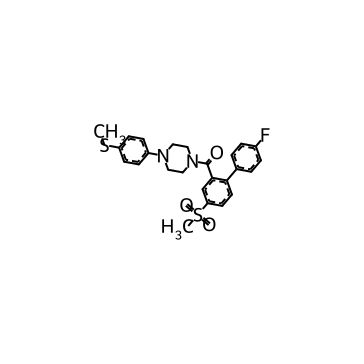 CSc1ccc(N2CCN(C(=O)c3cc(S(C)(=O)=O)ccc3-c3ccc(F)cc3)CC2)cc1